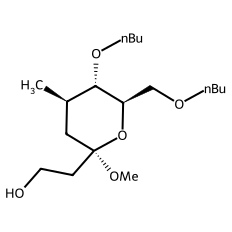 CCCCOC[C@H]1O[C@](CCO)(OC)C[C@@H](C)[C@@H]1OCCCC